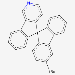 CC(C)(C)c1ccc2c(c1)-c1ccccc1C21c2ccccc2-c2cnccc21